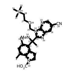 CCc1cc(C)c2c(ccn2C(=O)O)c1C(C)(NC)c1nc2cc(C#N)cnc2n1COCC[Si](C)(C)C